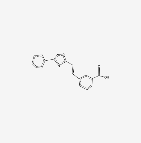 O=C(O)c1cccc(/C=C/c2nc(-c3ccccc3)cs2)c1